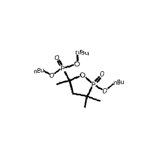 CCCCOP1(=O)OC(C)(P(=O)(OCCCC)OCCCC)CC1(C)C